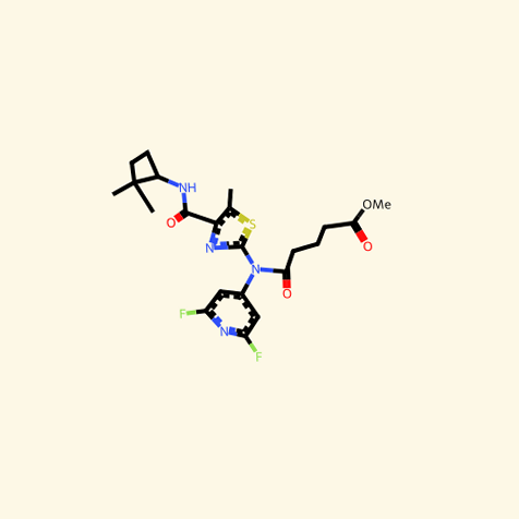 COC(=O)CCCC(=O)N(c1cc(F)nc(F)c1)c1nc(C(=O)NC2CCC2(C)C)c(C)s1